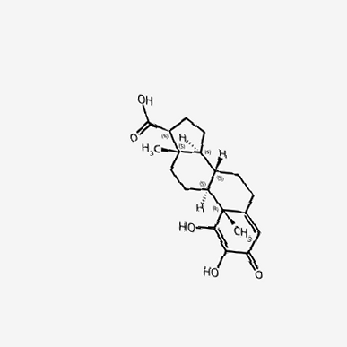 C[C@@]12C(=CC(=O)C(O)=C1O)CC[C@@H]1[C@@H]2CC[C@]2(C)[C@@H](C(=O)O)CC[C@@H]12